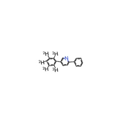 [2H]c1c([2H])c([2H])c(-c2ccc(-c3ccccc3)nc2)c([2H])c1[2H]